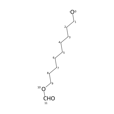 [O]CCCCCCCCCOC=O